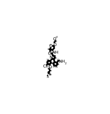 COCCOC(=O)CC(NC(=O)c1ccc(-c2ccccc2CN)c(-c2ccc(Cl)c(OCCCN(C)C)c2)n1)C(C)(C)C